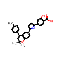 Cc1ccc(C2=CC(C)(C)Oc3ccc(-c4ccc(-c5ccc(C(=O)O)c(O)c5)[nH]4)cc32)cc1